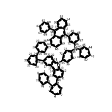 c1ccc(-c2ccccc2-c2ccc3c(c2)c2cc(-c4ccccc4-c4ccccc4)ccc2n3-c2ccc(N(c3ccccc3)c3cccc(-c4c5ccccc5c(-c5ccccc5)c5ccccc45)c3)cc2)cc1